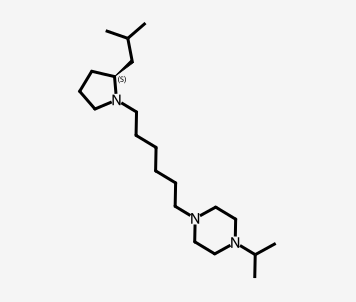 CC(C)C[C@@H]1CCCN1CCCCCCN1CCN(C(C)C)CC1